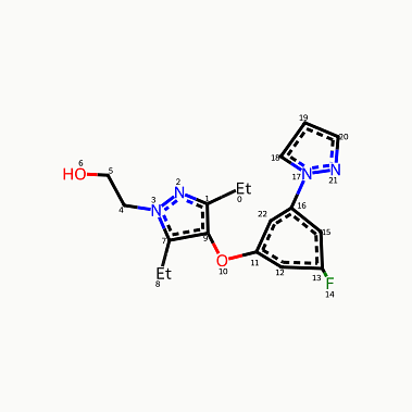 CCc1nn(CCO)c(CC)c1Oc1cc(F)cc(-n2cccn2)c1